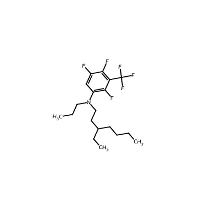 CCCCC(CC)CCN(CCC)c1cc(F)c(F)c(C(F)(F)F)c1F